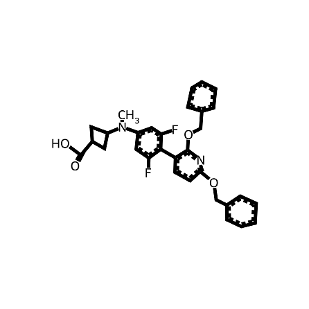 CN(c1cc(F)c(-c2ccc(OCc3ccccc3)nc2OCc2ccccc2)c(F)c1)C1CC(C(=O)O)C1